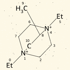 CC[N+]12CC[N+](CC)(CC1)C(C)C2